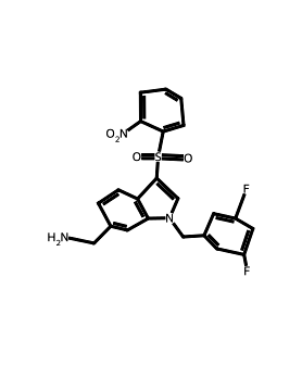 NCc1ccc2c(S(=O)(=O)c3ccccc3[N+](=O)[O-])cn(Cc3cc(F)cc(F)c3)c2c1